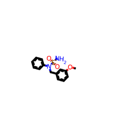 COc1cccc(CN(c2ccccc2)S(N)(=O)=O)c1